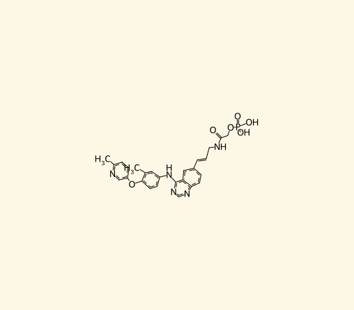 Cc1ccc(Oc2ccc(Nc3ncnc4ccc(C=CCNC(=O)COP(=O)(O)O)cc34)cc2C)cn1